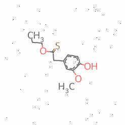 CCCOC(=S)Cc1ccc(O)c(OC)c1